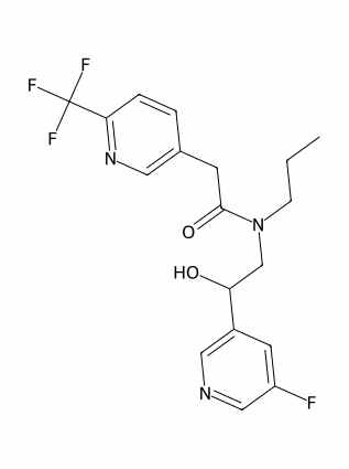 CCCN(CC(O)c1cncc(F)c1)C(=O)Cc1ccc(C(F)(F)F)nc1